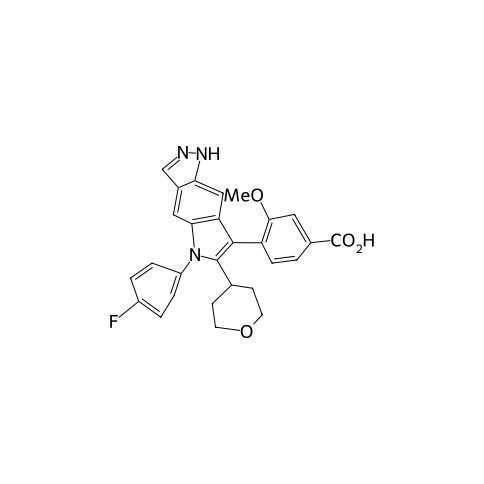 COc1cc(C(=O)O)ccc1-c1c(C2CCOCC2)n(-c2ccc(F)cc2)c2cc3cn[nH]c3cc12